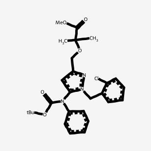 COC(=O)C(C)(C)OCc1cc(N(C(=O)OC(C)(C)C)c2ccccc2)n(Cc2ccccc2Cl)n1